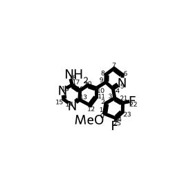 COc1cc(-c2ncccc2-c2ccc3ncnc(N)c3c2)c(F)cc1F